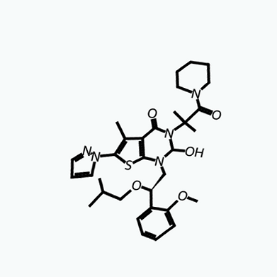 COc1ccccc1[C@H](CN1c2sc(-n3cccn3)c(C)c2C(=O)N(C(C)(C)C(=O)N2CCCCC2)C1O)OCC(C)C